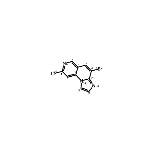 Clc1cc2c(cn1)cc(Br)c1nccn12